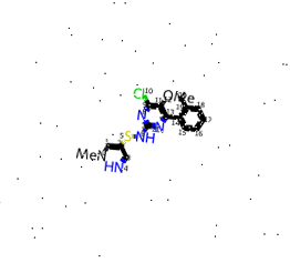 CN/C=C(\C=N)SNc1nc(Cl)c(OC)c(-c2ccccc2C)n1